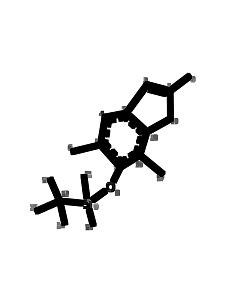 CC1=Cc2cc(C)c(O[Si](C)(C)C(C)(C)C)c(C)c2C1